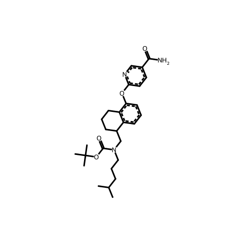 CC(C)CCCN(CC1CCCc2c(Oc3ccc(C(N)=O)cn3)cccc21)C(=O)OC(C)(C)C